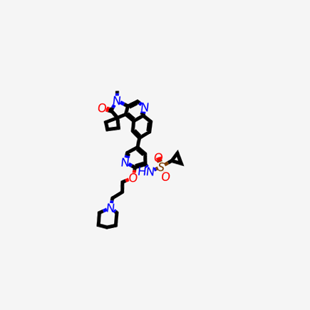 CN1C(=O)C2(CCC2)c2c1cnc1ccc(-c3cnc(OCCCN4CCCCC4)c(NS(=O)(=O)C4CC4)c3)cc21